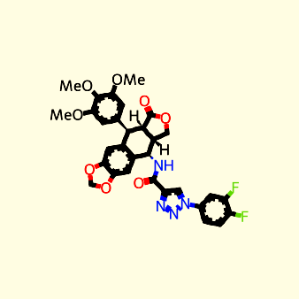 COc1cc([C@@H]2c3cc4c(cc3[C@@H](NC(=O)c3cn(-c5ccc(F)c(F)c5)nn3)[C@H]3COC(=O)[C@H]23)OCO4)cc(OC)c1OC